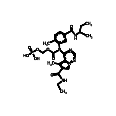 CCNC(=O)c1cn2ncnc(N(C(=O)OCOP(=O)(O)O)c3cc(C(=O)NC(C)CC)ccc3C)c2c1C